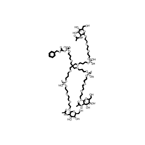 CC(=O)NC1[C@H](OCCOCCOCCOP(O)(=S)OCCCOCC(COCCCOP(O)(=S)OCCOCCOCCO[C@@H]2OC(CO)[C@@H](O)[C@H](O)C2NC(C)=O)(COCCCOP(O)(=S)OC(=O)OCc2ccccc2)COCCCO[PH](O)(S)OCCOCCOCCO[C@@H]2OC(CO)[C@H](O)[C@H](O)C2NC(C)=O)OC(CO)[C@@H](O)[C@@H]1O